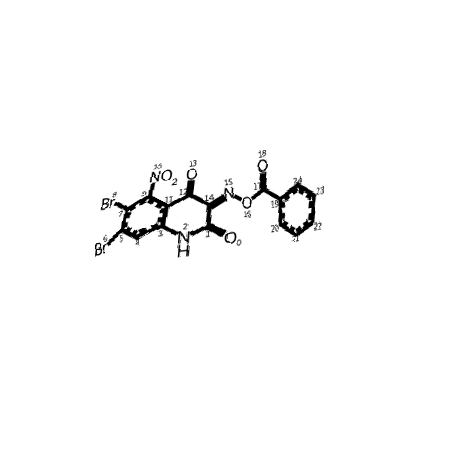 O=C1Nc2cc(Br)c(Br)c([N+](=O)[O-])c2C(=O)C1=NOC(=O)c1ccccc1